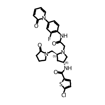 O=C(CN1C[C@H](NC(=O)c2ccc(Cl)s2)C[C@H]1CN1CCCC1=O)Nc1ccc(-n2ccccc2=O)cc1F